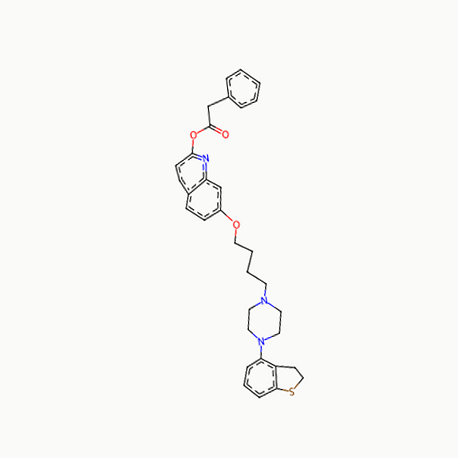 O=C(Cc1ccccc1)Oc1ccc2ccc(OCCCCN3CCN(c4cccc5c4CCS5)CC3)cc2n1